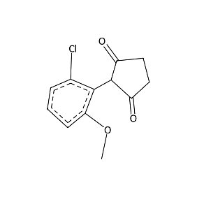 COc1cccc(Cl)c1C1C(=O)CCC1=O